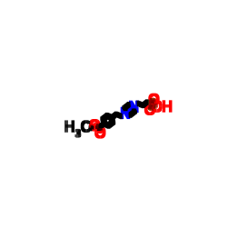 CCOC(=O)c1ccc(CCN2CCN(CCCS(=O)(=O)O)CC2)cc1